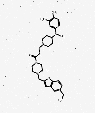 CN(c1ccc([N+](=O)[O-])c(C(F)(F)F)c1)C1CCC(OCC(=O)N2CCN(Cc3cc4cc(CC(F)(F)F)ccc4o3)CC2)CC1